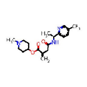 C=C(CC(=O)N[C@@H](C)c1ccc(C(F)(F)F)cn1)C(=O)OC1CCN(C)CC1